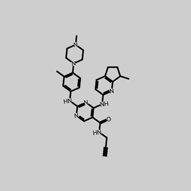 C#CCNC(=O)c1cnc(Nc2ccc(N3CCN(C)CC3)c(C)c2)nc1Nc1ccc2c(n1)C(C)CC2